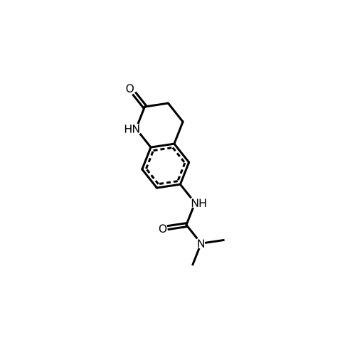 CN(C)C(=O)Nc1ccc2c(c1)CCC(=O)N2